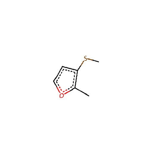 CSc1ccoc1C